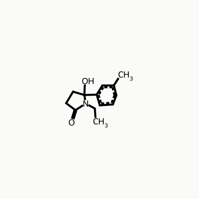 CCN1C(=O)CCC1(O)c1cccc(C)c1